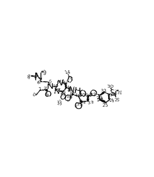 CCC(=O)N(CCN(C)C)c1nc(OC)c(NC(=O)C2OC(Oc3cccc([Si](C)(C)C)c3)=CC2=O)c(OC)n1